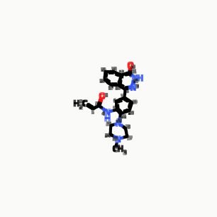 C=CC(=O)Nc1cc(-c2n[nH]c(=O)c3ccccc23)ccc1N1CCN(C)CC1